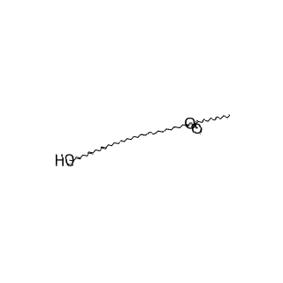 CCCCCCCCCCCC(=O)OCCCCCCCCCCCCCCCCCCCCCCCCCCCCCCCCCO